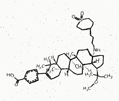 COC(C)(C)[C@@H]1CC[C@]2(NCCC3CCS(=O)(=O)CC3)CC[C@]3(C)[C@H](CC[C@@H]4[C@@]5(C)CC=C(c6ccc(C(=O)O)cc6)C(C)(C)[C@@H]5CC[C@]43C)[C@@H]12